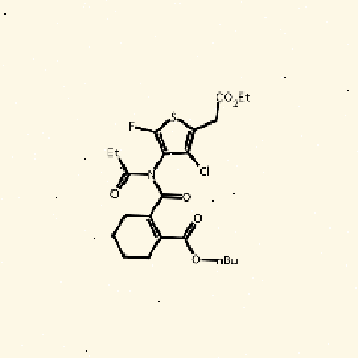 CCCCOC(=O)C1=C(C(=O)N(C(=O)CC)c2c(F)sc(CC(=O)OCC)c2Cl)CCCC1